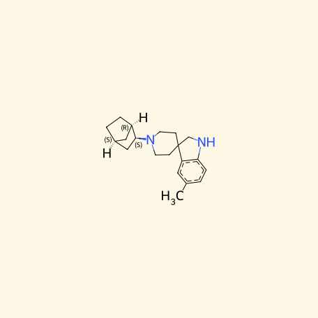 Cc1ccc2c(c1)C1(CCN([C@H]3C[C@H]4CC[C@@H]3C4)CC1)CN2